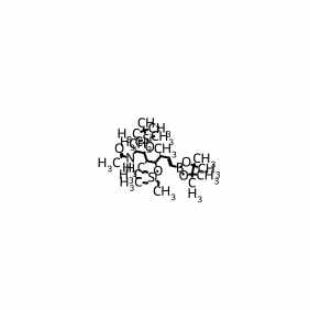 CC[Si](CC)(CC)O[C@@H]([C@H](C)[C@H](O[Si](C)(C)C(C)(C)C)[C@@H](C)NC(C)=O)[C@H](C)/C=C/B1OC(C)(C)C(C)(C)O1